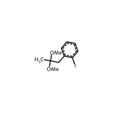 COC(C)(Cc1ccccc1I)OC